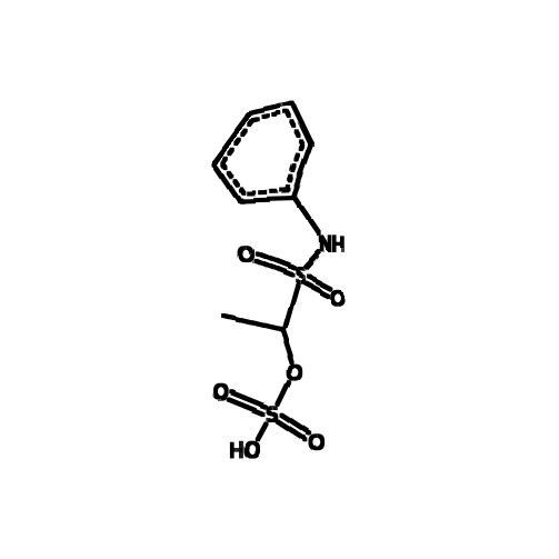 CC(OS(=O)(=O)O)S(=O)(=O)Nc1ccccc1